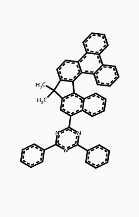 CC1(C)c2cc(-c3nc(-c4ccccc4)nc(-c4ccccc4)n3)c3ccccc3c2-c2c1ccc1c3ccccc3c3ccccc3c21